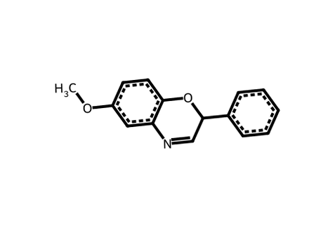 COc1ccc2c(c1)N=CC(c1ccccc1)O2